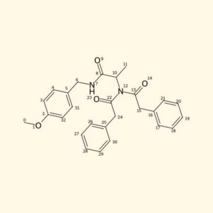 COc1ccc(CNC(=O)C(C)N(C(=O)Cc2ccccc2)C(=O)Cc2ccccc2)cc1